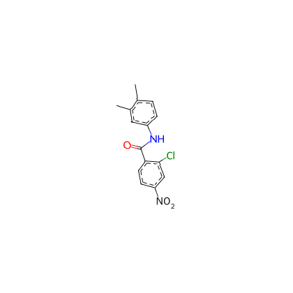 Cc1ccc(NC(=O)c2ccc([N+](=O)[O-])cc2Cl)cc1C